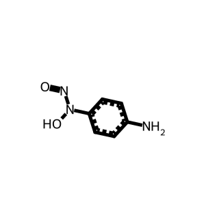 Nc1ccc(N(O)N=O)cc1